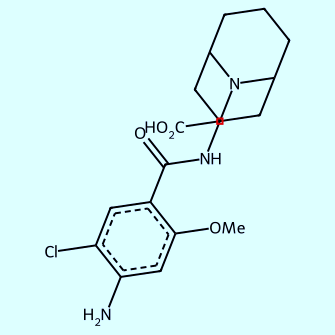 COc1cc(N)c(Cl)cc1C(=O)NC1CC2CCCC(C1)N2CC(=O)O